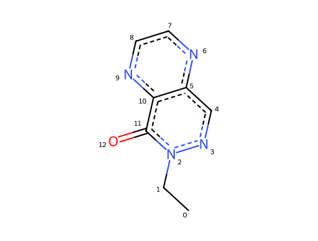 CCn1ncc2nccnc2c1=O